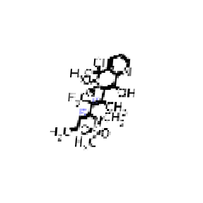 C=C/C=C(/C(=C(\C)C1=C(O)c2ncccc2C(C)(C)S1(=O)=O)C(F)(F)F)N(C)S(C)(=O)=O